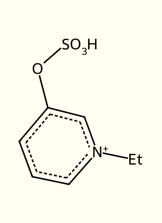 CC[n+]1cccc(OS(=O)(=O)O)c1